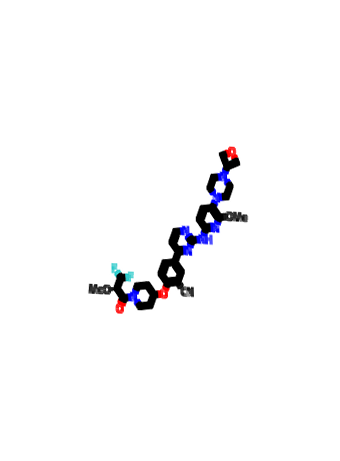 COc1nc(Nc2nccc(-c3ccc(OC4CCN(C(=O)[C@H](OC)C(F)F)CC4)c(C#N)c3)n2)ccc1N1CCN(C2COC2)CC1